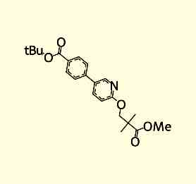 COC(=O)C(C)(C)COc1ccc(-c2ccc(C(=O)OC(C)(C)C)cc2)cn1